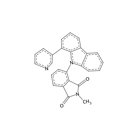 CN1C(=O)c2cccc(-n3c4ccccc4c4cccc(-c5cccnc5)c43)c2C1=O